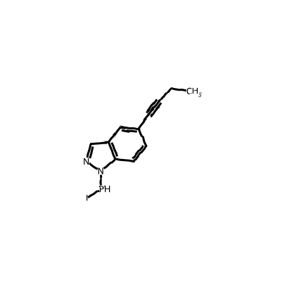 CCC#Cc1ccc2c(cnn2PI)c1